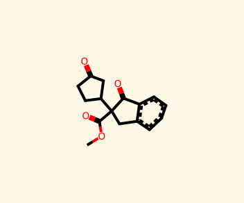 COC(=O)C1(C2CCC(=O)C2)Cc2ccccc2C1=O